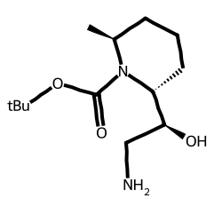 C[C@H]1CCC[C@H]([C@@H](O)CN)N1C(=O)OC(C)(C)C